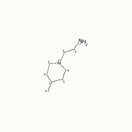 CC1C[CH]N(CCN)CC1